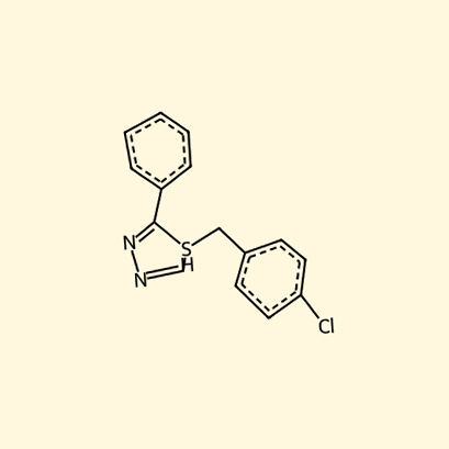 Clc1ccc(C[SH]2C=NN=C2c2ccccc2)cc1